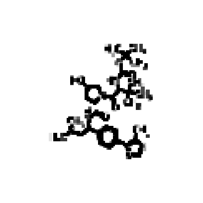 Cc1ncsc1-c1ccc(C(CN(C)C)NC(=O)[C@@H]2C[C@@H](O)CN2C(=O)[C@@H](NC(=O)OC(C)(C)C)C(C)(C)C)cc1